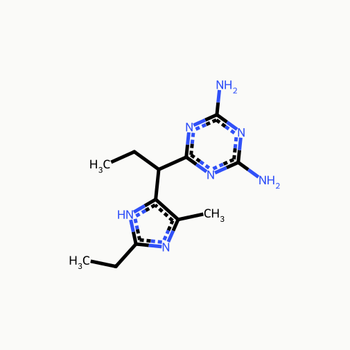 CCc1nc(C)c(C(CC)c2nc(N)nc(N)n2)[nH]1